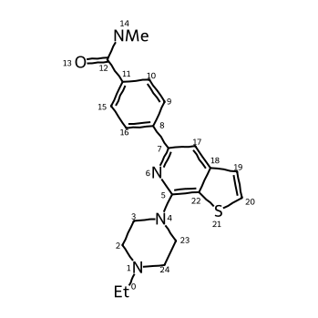 CCN1CCN(c2nc(-c3ccc(C(=O)NC)cc3)cc3ccsc23)CC1